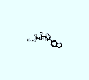 C[C@H](NC(=O)OC(C)(C)C)c1nc(-c2ccc3c(c2)CCC3)no1